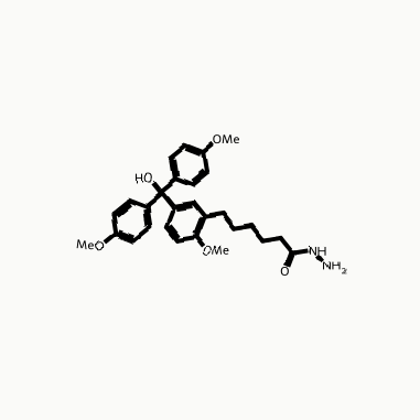 COc1ccc(C(O)(c2ccc(OC)cc2)c2ccc(OC)c(CCCCCC(=O)NN)c2)cc1